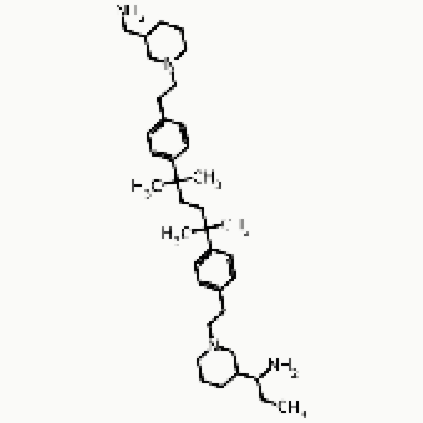 CCC(N)C1CCCN(CCc2ccc(C(C)(C)CCC(C)(C)c3ccc(CCN4CCCC(CN)C4)cc3)cc2)C1